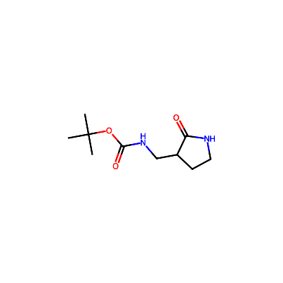 CC(C)(C)OC(=O)NCC1CCNC1=O